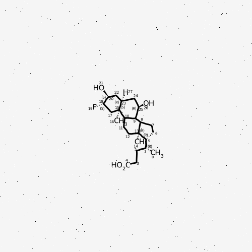 C[C@H](CCC(=O)O)[C@H]1CCC2C3C(CC[C@@]21C)[C@@]1(C)C[C@H](F)[C@@H](O)C[C@H]1C[C@H]3O